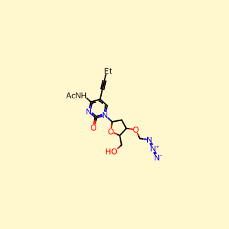 CCC#Cc1cn(C2CC(OCN=[N+]=[N-])C(CO)O2)c(=O)nc1NC(C)=O